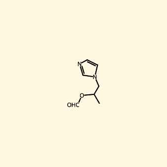 CC(Cn1ccnc1)OC=O